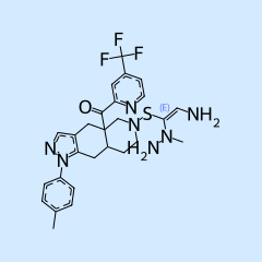 Cc1ccc(-n2ncc3c2CC2CCN(S/C(=C/N)N(C)N)CC2(C(=O)c2cc(C(F)(F)F)ccn2)C3)cc1